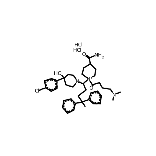 CN(C)CCCC(=O)[N+]1(C(CCC(C)(c2ccccc2)c2ccccc2)N2CCC(O)(c3ccc(Cl)cc3)CC2)CCC(C(N)=O)CC1.Cl.Cl